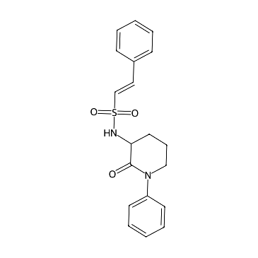 O=C1C(NS(=O)(=O)C=Cc2ccccc2)CCCN1c1ccccc1